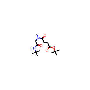 CN(CC(=O)NC(C)(C)C)C(=O)CCC(=O)OC(C)(C)C